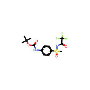 CC(C)(C)OC(=O)Nc1ccc(S(C)(=O)=NC(=O)C(F)(F)F)cc1